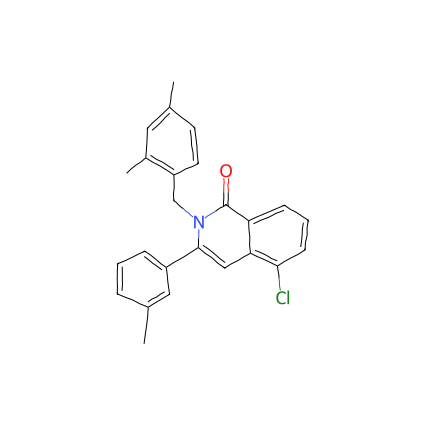 Cc1cccc(-c2cc3c(Cl)cccc3c(=O)n2Cc2ccc(C)cc2C)c1